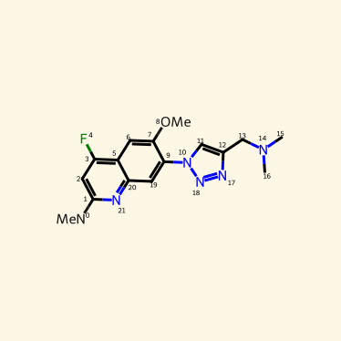 CNc1cc(F)c2cc(OC)c(-n3cc(CN(C)C)nn3)cc2n1